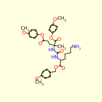 COc1ccc(COC(=O)C(CCCCN)NC(=O)NC(C)(CCC(=O)Oc2ccc(OC)cc2)C(=O)Oc2ccc(OC)cc2)cc1